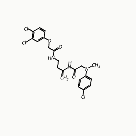 C=C(CCNC(=O)COc1ccc(Cl)c(Cl)c1)NC(=O)CN(C)c1ccc(Cl)cc1